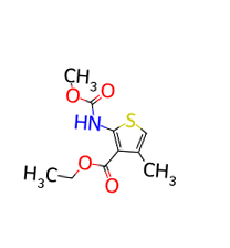 CCOC(=O)c1c(C)csc1NC(=O)OC